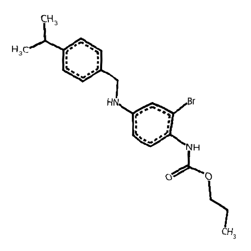 CCCOC(=O)Nc1ccc(NCc2ccc(C(C)C)cc2)cc1Br